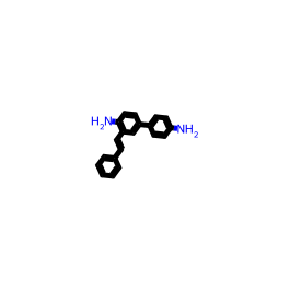 Nc1ccc(-c2ccc(N)c(C=Cc3ccccc3)c2)cc1